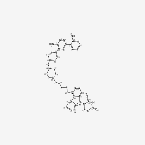 Nc1nnc(-c2ccccc2O)cc1-c1ccc(CN2CCN(CCCCCc3cccc4c3c3cccnc3n4C3CCC(=O)NC3=O)CC2)cc1